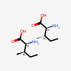 CC[C@@H](C)[C@H](N)C(=O)O.CC[C@H](C)[C@H](N)C(=O)O